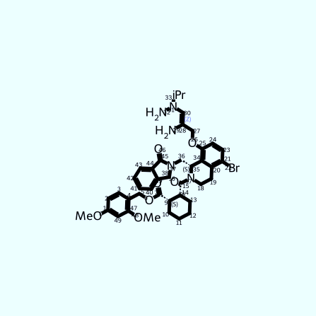 COc1ccc(COC(=O)[C@H]2CCCC[C@H]2C(=O)N2CCc3c(Br)ccc(OC/C(N)=C/N(N)C(C)C)c3[C@H]2CN2Cc3ccccc3C2=O)c(OC)c1